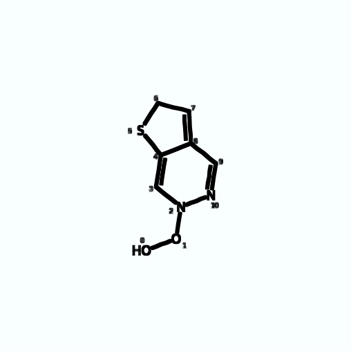 OON1C=C2SCC=C2C=N1